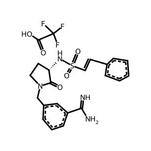 N=C(N)c1cccc(CN2CC[C@H](NS(=O)(=O)C=Cc3ccccc3)C2=O)c1.O=C(O)C(F)(F)F